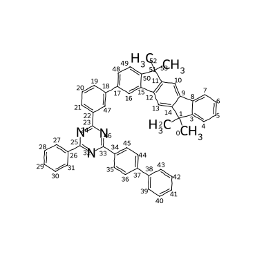 CC1(C)c2ccccc2-c2cc3c(cc21)-c1cc(-c2cccc(-c4nc(-c5ccccc5)nc(-c5ccc(-c6ccccc6)cc5)n4)c2)ccc1C3(C)C